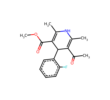 COC(=O)C1=C(C)NC(C)=C(C(C)=O)C1c1ccccc1F